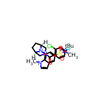 CN(C(C)(C)C)S(=O)(=O)c1cc(N2[C@@H]3CC[C@H]2CN(C(=O)c2ccc(F)cc2Cl)C3)c2c(ccn2C)c1